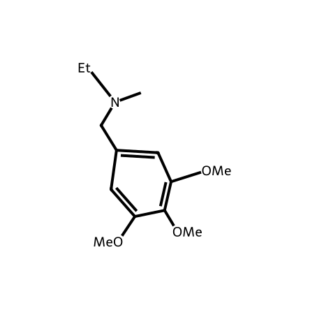 CCN(C)Cc1cc(OC)c(OC)c(OC)c1